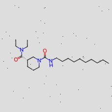 CCCCCCCCCCNC(=O)N1CCC[C@H](C(=O)N(CC)CC)C1